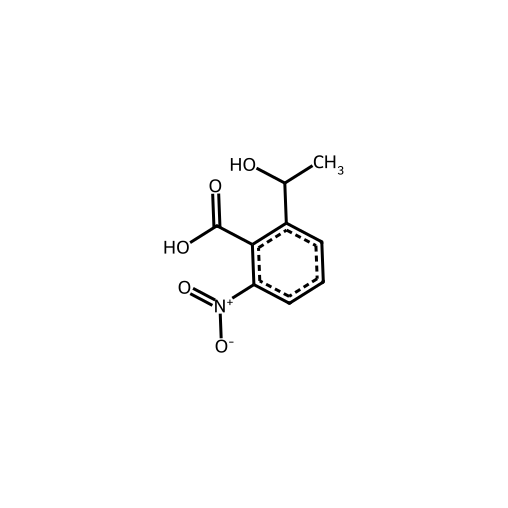 CC(O)c1cccc([N+](=O)[O-])c1C(=O)O